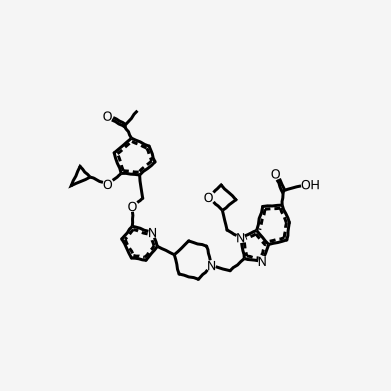 CC(=O)c1ccc(COc2cccc(C3CCN(Cc4nc5ccc(C(=O)O)cc5n4CC4CCO4)CC3)n2)c(OC2CC2)c1